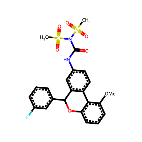 COc1cccc2c1-c1ccc(NC(=O)N(S(C)(=O)=O)S(C)(=O)=O)cc1C(c1cccc(F)c1)O2